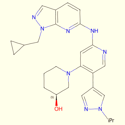 CC(C)n1cc(-c2cnc(Nc3ccc4cnn(CC5CC5)c4n3)cc2N2CCC[C@H](O)C2)cn1